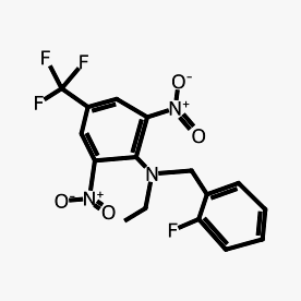 CCN(Cc1ccccc1F)c1c([N+](=O)[O-])cc(C(F)(F)F)cc1[N+](=O)[O-]